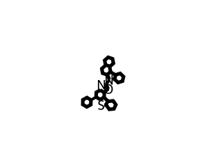 c1ccc(-c2cc3nc(-n4c5ccccc5c5c6ccccc6ccc54)oc3c3c2sc2ccccc23)cc1